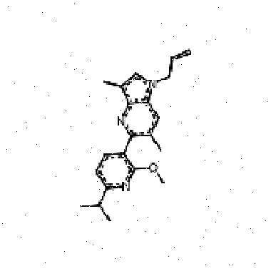 C=CCn1cc(C)c2nc(-c3ccc(C(C)C)nc3OC)c(C)cc21